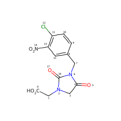 O=C(O)CN1CC(=O)N(Cc2ccc(Cl)c([N+](=O)[O-])c2)C1=O